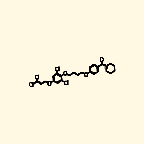 O=C(c1ccc(OCCCCOc2c(Cl)cc(OCC=C(Cl)Cl)cc2Cl)cc1)N1CCCCC1